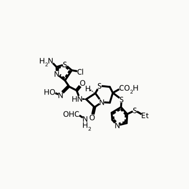 CCSc1cnccc1SC1(C(=O)O)CS[C@@H]2[C@H](NC(=O)C(=NO)c3nc(N)sc3Cl)C(=O)N2C1.NC=O